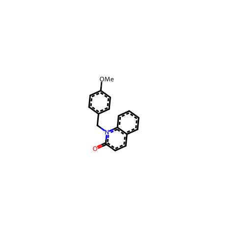 COc1ccc(Cn2c(=O)ccc3ccccc32)cc1